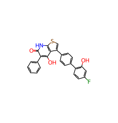 O=c1[nH]c2scc(-c3ccc(-c4ccc(F)cc4O)cc3)c2c(O)c1-c1ccccc1